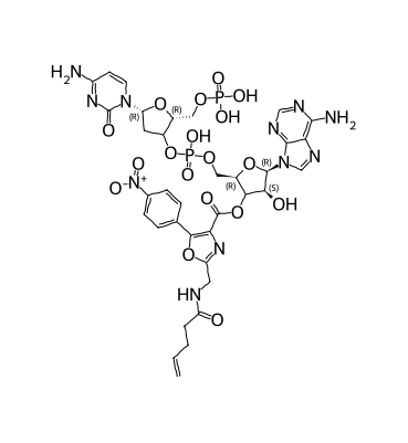 C=CCCC(=O)NCc1nc(C(=O)OC2[C@@H](COP(=O)(O)OC3C[C@H](n4ccc(N)nc4=O)O[C@@H]3COP(=O)(O)O)O[C@@H](n3cnc4c(N)ncnc43)[C@H]2O)c(-c2ccc([N+](=O)[O-])cc2)o1